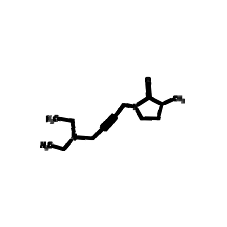 CCN(CC)CC#CCN1CCC(C)C1=O